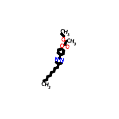 CCCCCCCCCc1cnc(-c2ccc(OC(=O)C(C)OCCC)cc2)nc1